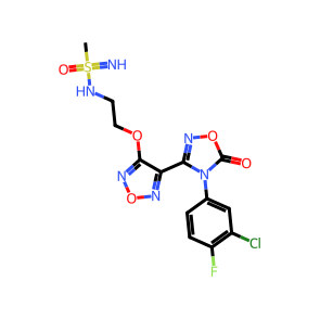 CS(=N)(=O)NCCOc1nonc1-c1noc(=O)n1-c1ccc(F)c(Cl)c1